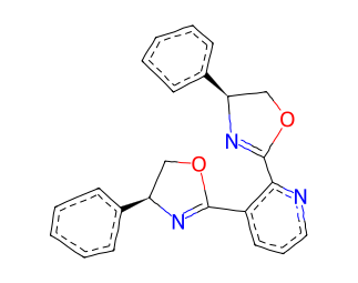 c1ccc([C@H]2COC(c3cccnc3C3=N[C@@H](c4ccccc4)CO3)=N2)cc1